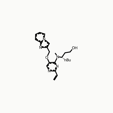 C=Cc1ncc(OCc2cn3ccccc3n2)c(N(C)[C@H](CCO)CCCC)n1